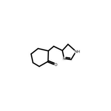 O=C1CCCCC1CC1CNC=N1